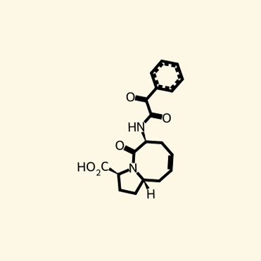 O=C(N[C@H]1C/C=C\C[C@@H]2CC[C@@H](C(=O)O)N2C1=O)C(=O)c1ccccc1